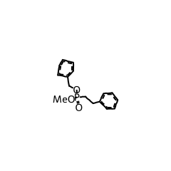 COP(=O)(CCc1ccccc1)OCc1ccccc1